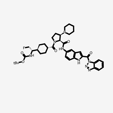 CC(C)(C)OC(=O)N[C@H](CF)[C@H]1CC[C@H](C(=O)N2CC[C@@H](N3CCCCC3)[C@H]2C(=O)Nc2ccc3[nH]c(C(=O)n4nnc5ccccc54)cc3c2)CC1